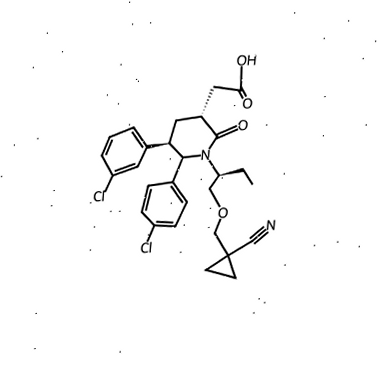 CC[C@@H](COCC1(C#N)CC1)N1C(=O)[C@@H](CC(=O)O)C[C@H](c2cccc(Cl)c2)C1c1ccc(Cl)cc1